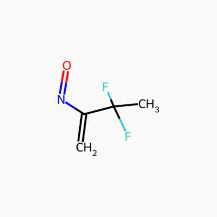 C=C(N=O)C(C)(F)F